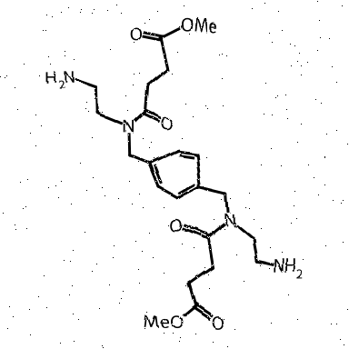 COC(=O)CCC(=O)N(CCN)Cc1ccc(CN(CCN)C(=O)CCC(=O)OC)cc1